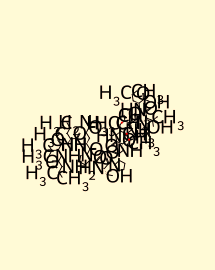 CC[C@H](C)[C@H](NC(=O)[C@@H](NC(=O)[C@@H](N)C(C)C)C(C)C)C(=O)N[C@@H](CCC(N)=O)C(=O)N1CCC[C@H]1C(=O)N[C@@H](CO)C(=O)N1CCC[C@H]1C(=O)N[C@H](C(=O)N[C@H](C(=O)N[C@H](C(=O)N[C@H](C(=O)N[C@@H](CC(C)C)C(=O)O)[C@@H](C)O)C(C)C)C(C)C)C(C)C